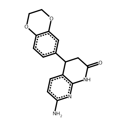 Nc1ccc2c(n1)NC(=O)CC2c1ccc2c(c1)OCCO2